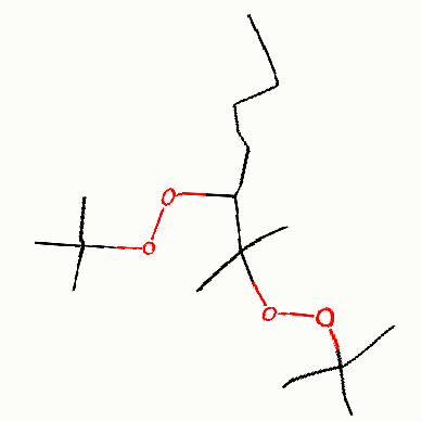 CCCCC(OOC(C)(C)C)C(C)(C)OOC(C)(C)C